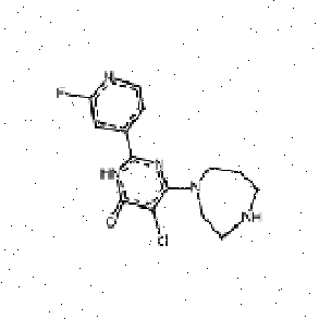 O=c1[nH]c(-c2ccnc(F)c2)nc(N2CCCNCC2)c1Cl